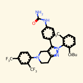 Cc1cccc(OCC(C)C)c1-n1nc2c(c1-c1ccc(NC(N)=O)cc1)CN(c1ccc(C(F)(F)F)cc1C(F)(F)F)CC2